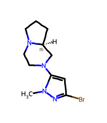 Cn1nc(Br)cc1N1CCN2CCC[C@H]2C1